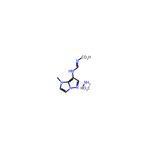 Cn1ccn2ncc(NC=NC(=O)O)c12.NC(=O)O